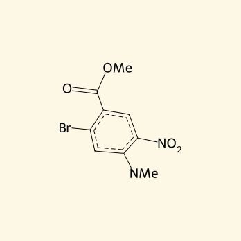 CNc1cc(Br)c(C(=O)OC)cc1[N+](=O)[O-]